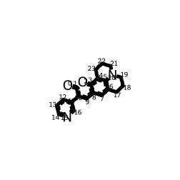 O=c1oc2c3c4c(cc2cc1-c1cccnc1)CCCN4CCC3